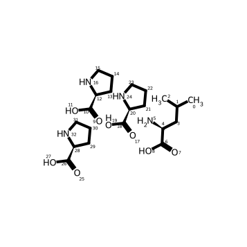 CC(C)C[C@H](N)C(=O)O.O=C(O)[C@@H]1CCCN1.O=C(O)[C@@H]1CCCN1.O=C(O)[C@@H]1CCCN1